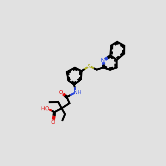 CCC(CC)(CC(=O)Nc1cccc(SCc2ccc3ccccc3n2)c1)C(=O)O